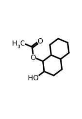 CC(=O)OC1C(O)CCC2CCCCC21